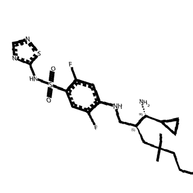 CC(C)(CCN)C[C@@H](CNc1cc(F)c(S(=O)(=O)Nc2ncns2)cc1F)[C@H](N)C1CC1